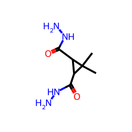 CC1(C)C(C(=O)NN)C1C(=O)NN